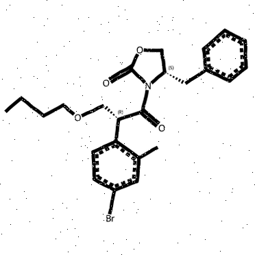 CCCCOC[C@H](C(=O)N1C(=O)OC[C@@H]1Cc1ccccc1)c1ccc(Br)cc1C